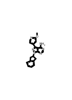 COc1cc(-c2nn(C3Cc4ccccc4C3)c3ncnc(N)c23)ccn1